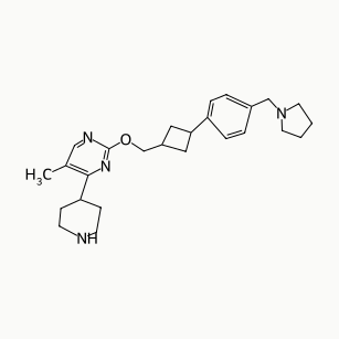 Cc1cnc(OCC2CC(c3ccc(CN4CCCC4)cc3)C2)nc1C1CCNCC1